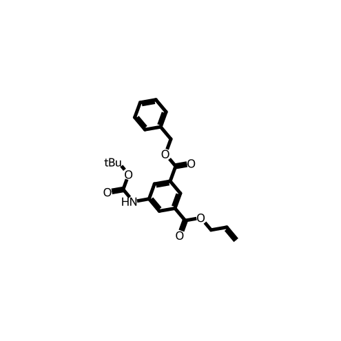 C=CCOC(=O)c1cc(NC(=O)OC(C)(C)C)cc(C(=O)OCc2ccccc2)c1